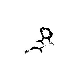 CCCCC=C(C)OC(=O)c1ccccc1N